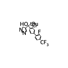 CC(C)(C)C(O)(c1cncnc1)c1ccc(-c2ccc(C(F)(F)F)cc2F)cc1Cl